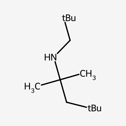 CC(C)(C)CNC(C)(C)CC(C)(C)C